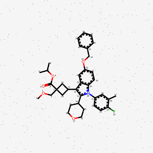 COCC1(C(=O)OC(C)C)CC(c2c(C3CCOCC3)n(-c3ccc(F)c(C)c3)c3ccc(OCc4ccccc4)cc23)C1